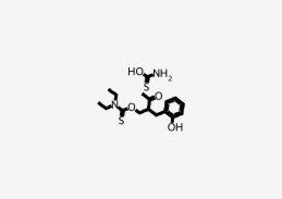 CCN(CC)C(=S)OCC(Cc1ccccc1O)C(C)=O.NC(O)=S